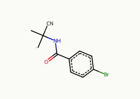 [CH2]C(C)(C#N)NC(=O)c1ccc(Br)cc1